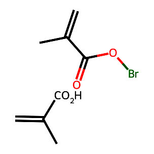 C=C(C)C(=O)O.C=C(C)C(=O)OBr